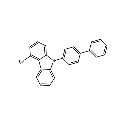 Bc1cccc2c1c1ccccc1n2-c1ccc(-c2ccccc2)cc1